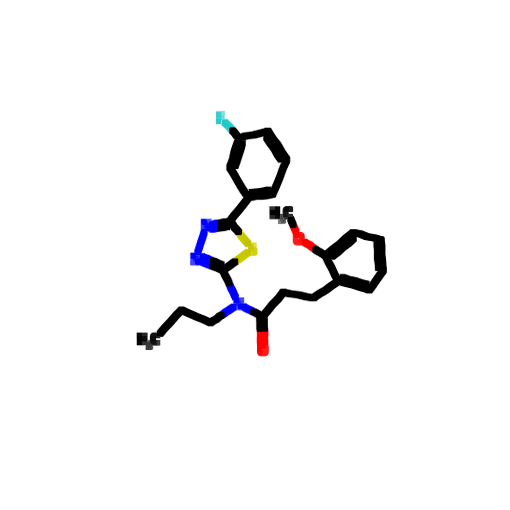 CCCN(C(=O)CCc1ccccc1OC)c1nnc(-c2cccc(F)c2)s1